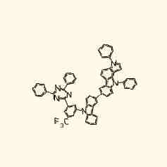 FC(F)(F)c1cc(-c2nc(-c3ccccc3)nc(-c3ccccc3)n2)cc(-n2c3ccccc3c3cc(-c4ccc5c(c4)c4ccc6c(ccn6-c6ccccc6)c4n5-c4ccccc4)ccc32)c1